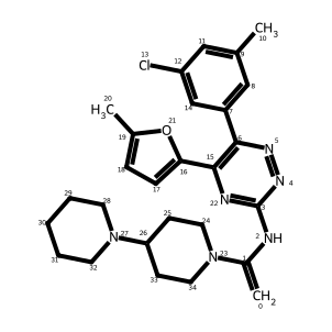 C=C(Nc1nnc(-c2cc(C)cc(Cl)c2)c(-c2ccc(C)o2)n1)N1CCC(N2CCCCC2)CC1